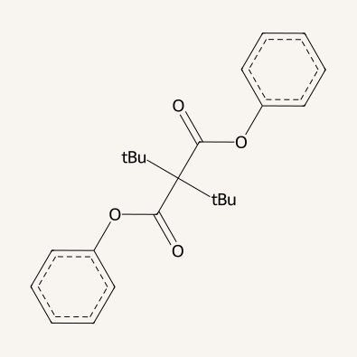 CC(C)(C)C(C(=O)Oc1ccccc1)(C(=O)Oc1ccccc1)C(C)(C)C